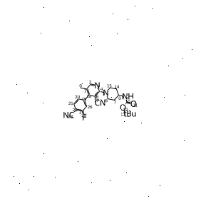 Cc1cnc(N2CCC(NC(=O)OC(C)(C)C)CC2)c(C#N)c1-c1ccc(C#N)c(F)c1